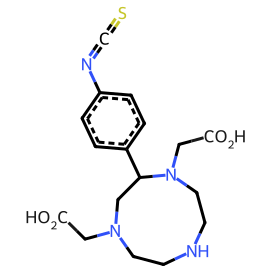 O=C(O)CN1CCNCCN(CC(=O)O)C(c2ccc(N=C=S)cc2)C1